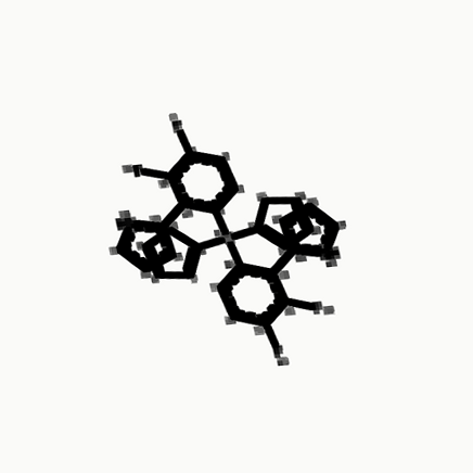 Fc1cc[c]([Ti]([C]2=CC=CC2)([C]2=CC=CC2)[c]2ccc(F)c(F)c2-c2ccc[nH]2)c(-c2ccc[nH]2)c1F